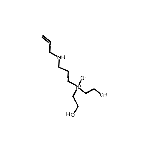 C=CCNCCC[N+]([O-])(CCO)CCO